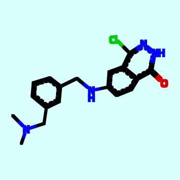 CN(C)Cc1cccc(CNc2ccc3c(=O)[nH]nc(Cl)c3c2)c1